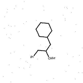 CO[C](CC(C)C)CC1CCCCC1